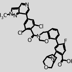 Cn1cc2cncc(-c3cc(Cl)c(C(=O)N4COc5c(cccc5-c5cc(N6C7CCC6COC7)c(C(=O)O)cc5F)C4)c(Cl)c3)c2n1